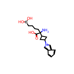 NC(CCCCB(O)O)(C(=O)O)C1CC(n2cc3ccccc3c2)C1